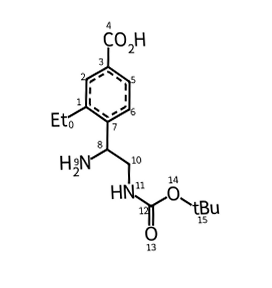 CCc1cc(C(=O)O)ccc1C(N)CNC(=O)OC(C)(C)C